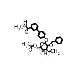 C=C[C@H]1[C@H](C)[C@@H](COC(C)=O)O[C@H](Oc2ccc(-c3cccc(C(=O)NC)c3)cc2)[C@H]1OCc1ccccc1